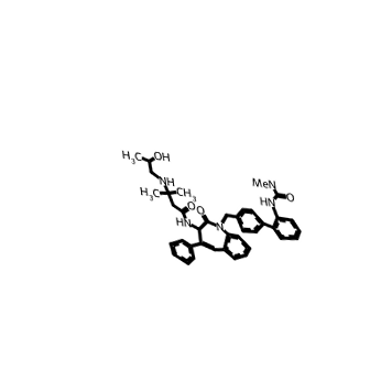 CNC(=O)Nc1ccccc1-c1ccc(CN2C(=O)C(NC(=O)CC(C)(C)NCC(C)O)C(c3ccccc3)=Cc3ccccc32)cc1